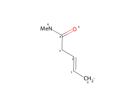 [CH2]C=CCC(=O)NC